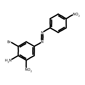 Nc1c(Br)cc(/N=N/c2ccc([N+](=O)[O-])cc2)cc1[N+](=O)[O-]